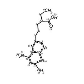 CCC(CCCc1cnc2nc(N)nc(N)c2n1)C(=O)O